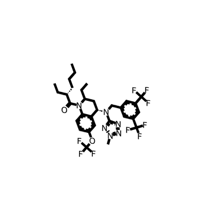 CCCC[C@@H](CC)C(=O)N1c2ccc(OC(F)(F)F)cc2[C@@H](N(Cc2cc(C(F)(F)F)cc(C(F)(F)F)c2)c2nnn(C)n2)CC1CC